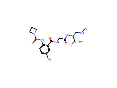 CCC[C@H](O)[C@H](CNC(C)CC)NC(=O)CNC(=O)c1cc(C(F)(F)F)ccc1NC(=O)N1CCC1